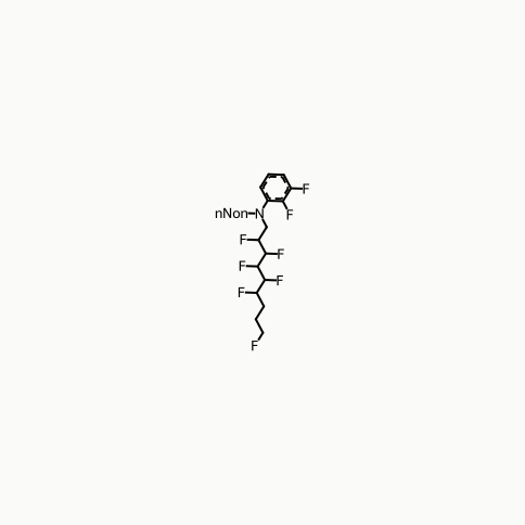 CCCCCCCCCN(CC(F)C(F)C(F)C(F)C(F)CCCF)c1cccc(F)c1F